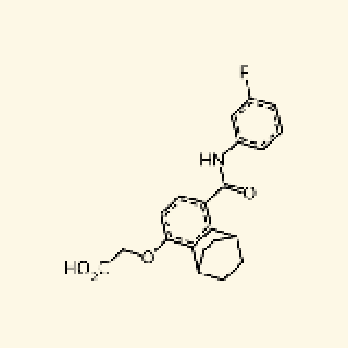 O=C(O)COc1ccc(C(=O)Nc2cccc(F)c2)c2c1C1CCC2CC1